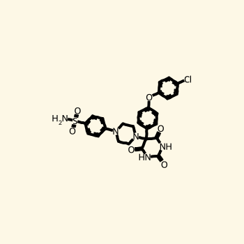 NS(=O)(=O)c1ccc(N2CCN(C3(c4ccc(Oc5ccc(Cl)cc5)cc4)C(=O)NC(=O)NC3=O)CC2)cc1